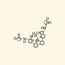 COc1nc(-c2cccc(-c3cccc(-c4ccc5c(CNC[C@H]6CCC(=O)N6)cn(C)c5n4)c3Cl)c2Cl)ccc1CNC[C@@H]1CCC(=O)N1